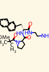 COC(C)(C)C(=O)N1CCCC1C(=O)N[C@H](Cc1ccc2ccccc2c1)C(=O)NCCN